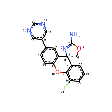 NC1=N[C@]2(CO1)c1cc(-c3cncnc3)ccc1Oc1c(F)cccc12